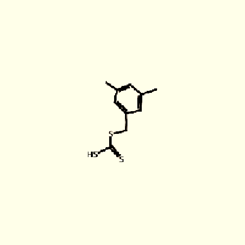 Cc1cc(C)cc(CSC(=S)S)c1